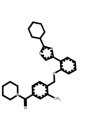 Cc1cc(C(=O)N2CCCCC2)ccc1COc1ccccc1-c1csc(C2CCCCC2)n1